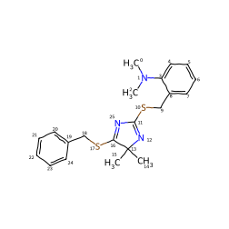 CN(C)c1ccccc1CSC1=NC(C)(C)C(SCc2ccccc2)=N1